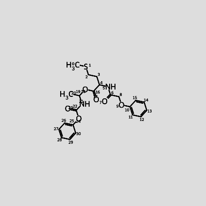 CSCCC(NC(=O)COc1ccccc1)C(=O)OC(C)NC(=O)Oc1ccccc1